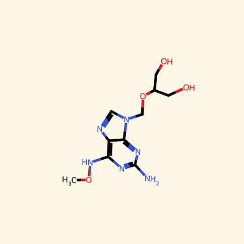 CONc1nc(N)nc2c1ncn2COC(CO)CO